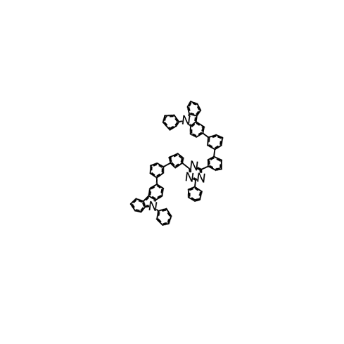 c1ccc(-c2nc(-c3cccc(-c4cccc(-c5ccc6c(c5)c5ccccc5n6-c5ccccc5)c4)c3)nc(-c3cccc(-c4cccc(-c5ccc6c(c5)c5ccccc5n6-c5ccccc5)c4)c3)n2)cc1